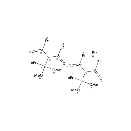 CCC[Si](OC)(OC)C(C(=O)CC)C(=O)CC.CCC[Si](OC)(OC)C(C(=O)CC)C(=O)CC.[Pt+2]